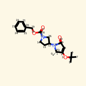 C[C@H]1C(OC(C)(C)C)=CC(=O)N1C1CCN(C(=O)OCc2ccccc2)C1